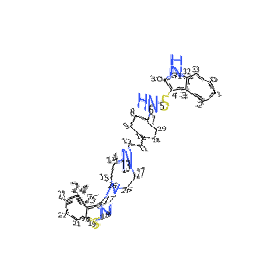 c1ccc2c(SNC3CCC(CCN4CCN(c5nsc6ccccc56)CC4)CC3)c[nH]c2c1